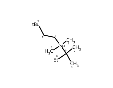 CCC(C)(C)[Si](C)(C)CCC(C)(C)C